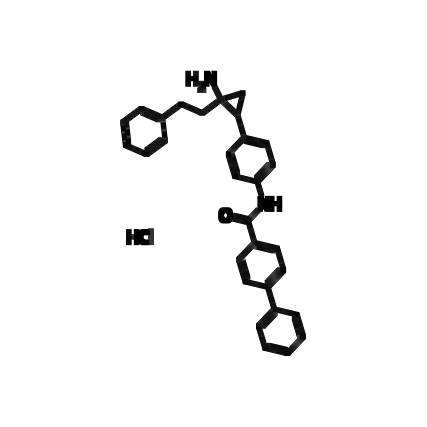 Cl.NC1(CCc2ccccc2)CC1c1ccc(NC(=O)c2ccc(-c3ccccc3)cc2)cc1